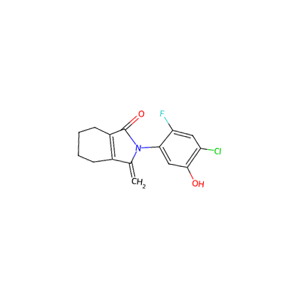 C=C1C2=C(CCCC2)C(=O)N1c1cc(O)c(Cl)cc1F